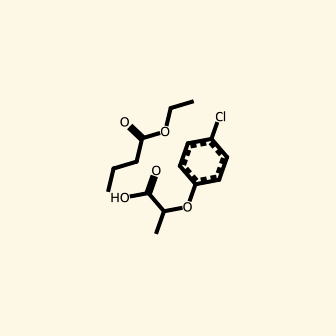 CC(Oc1ccc(Cl)cc1)C(=O)O.CCCC(=O)OCC